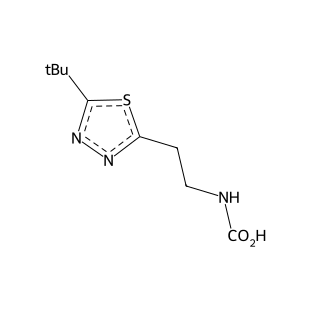 CC(C)(C)c1nnc(CCNC(=O)O)s1